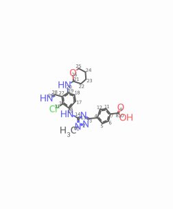 Cn1nc(-c2ccc(C(=O)O)cc2)nc1Nc1ccc(NC2CCCCO2)c(C=N)c1Cl